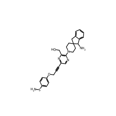 NSc1ccc(OCC#Cc2cnc(N3CCC4(CC3)Cc3ccccc3C4N)c(CO)n2)cc1